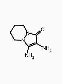 Nc1c(N)n2n(c1=O)CCCC2